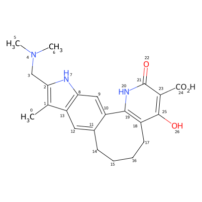 Cc1c(CN(C)C)[nH]c2cc3c(cc12)CCCCc1c-3[nH]c(=O)c(C(=O)O)c1O